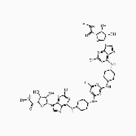 CCNC(=O)[C@H]1O[C@@H](n2cnc3c(N[C@H]4CC[C@H](Nc5nc(Cl)nc(N[C@H]6CC[C@H](Nc7nc(Cl)nc8c7ncn8[C@@H]7O[C@H](C(=O)NCC)[C@@H](O)[C@H]7O)CC6)n5)CC4)nc(Cl)nc32)[C@H](O)[C@@H]1O